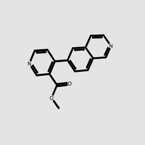 COC(=O)c1cnccc1-c1ccc2cnccc2c1